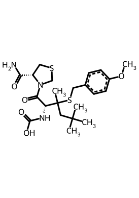 COc1ccc(CSC(C)(CC(C)(C)C)[C@H](NC(=O)O)C(=O)N2CSC[C@H]2C(N)=O)cc1